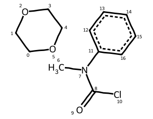 C1COCCO1.CN(C(=O)Cl)c1ccccc1